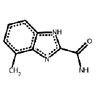 Cc1cccc2[nH]c(C([NH])=O)nc12